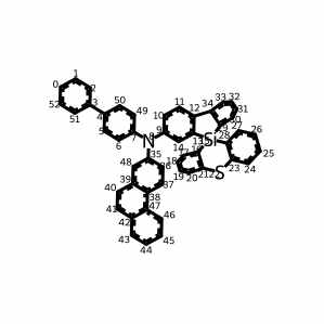 c1ccc(-c2ccc(N(c3ccc4c(c3)[Si]3(c5ccccc5Sc5ccccc53)c3ccccc3-4)c3ccc4c(ccc5ccccc54)c3)cc2)cc1